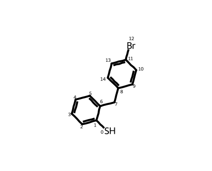 Sc1ccccc1Cc1ccc(Br)cc1